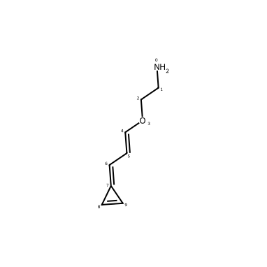 NCCO/C=C/C=C1C=C1